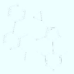 O=C(O)Cc1cccc(-c2ccccc2)c1OCc1c(-c2c(Cl)cccc2Cl)noc1C1CC1